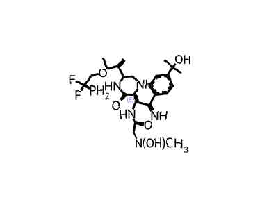 C=C(C1CN/C(=C(/NC(=O)CN(C)O)C(=N)c2ccc(C(C)(C)O)cc2)C(=O)N1)C(C)OCC(F)(F)P